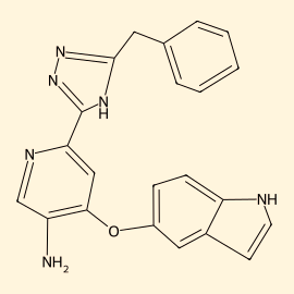 Nc1cnc(-c2nnc(Cc3ccccc3)[nH]2)cc1Oc1ccc2[nH]ccc2c1